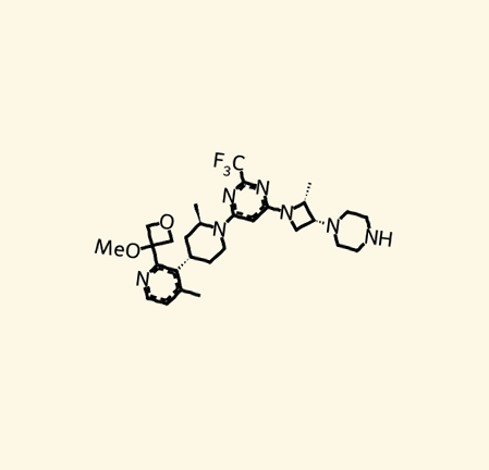 COC1(c2nccc(C)c2[C@H]2CCN(c3cc(N4C[C@@H](N5CCNCC5)[C@H]4C)nc(C(F)(F)F)n3)[C@H](C)C2)COC1